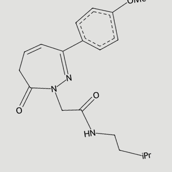 COc1ccc(C2=NN(CC(=O)NCCC(C)C)C(=O)CC=C2)cc1